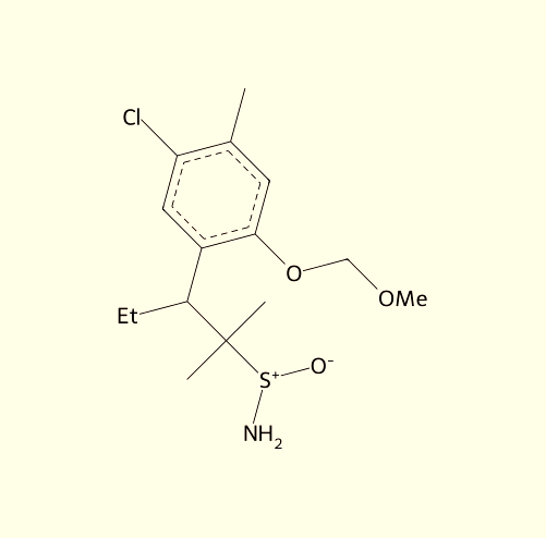 CCC(c1cc(Cl)c(C)cc1OCOC)C(C)(C)[S+](N)[O-]